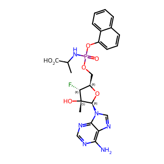 CC(NP(=O)(OC[C@H]1O[C@@H](n2cnc3c(N)ncnc32)[C@](C)(O)[C@@H]1F)Oc1cccc2ccccc12)C(=O)O